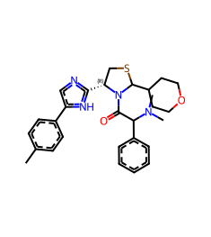 Cc1ccc(-c2cnc([C@@H]3CSC(C4CCOCC4)N3C(=O)C(c3ccccc3)N(C)C)[nH]2)cc1